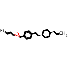 C=CC[C@H]1CC[C@H](CCc2ccc(COCC=CCC)cc2)CC1